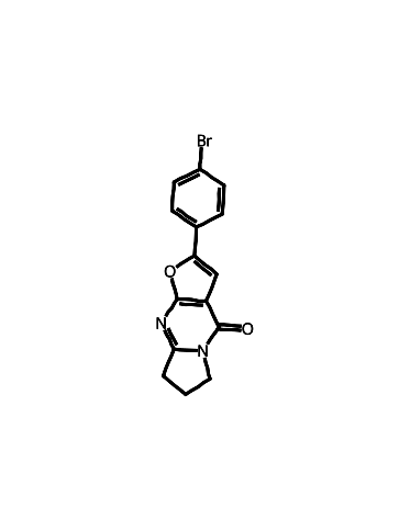 O=c1c2cc(-c3ccc(Br)cc3)oc2nc2n1CCC2